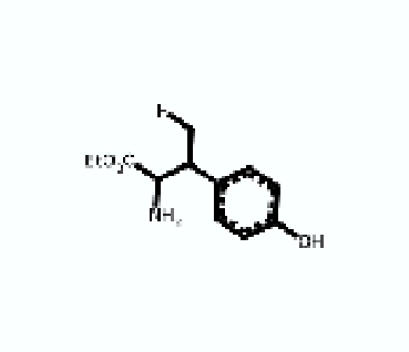 CCOC(=O)C(N)C(CF)c1ccc(O)cc1